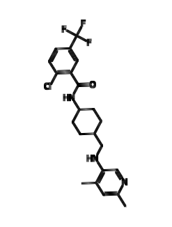 Cc1cc(C)c(NCC2CCC(NC(=O)c3cc(C(F)(F)F)ccc3Cl)CC2)cn1